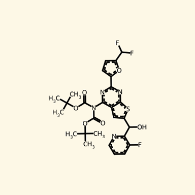 CC(C)(C)OC(=O)N(C(=O)OC(C)(C)C)c1nc(-c2ccc(C(F)F)o2)nc2sc(C(O)c3ncccc3F)cc12